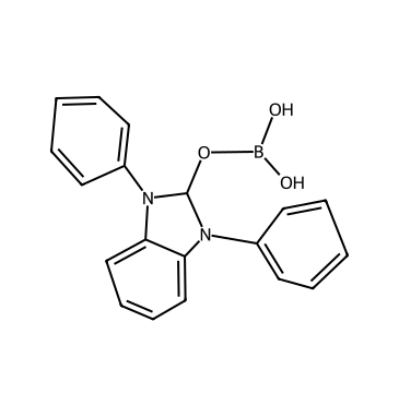 OB(O)OC1N(c2ccccc2)c2ccccc2N1c1ccccc1